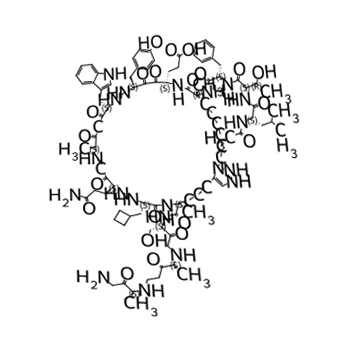 CC(=O)N[C@@H](CC(C)C)C(=O)N[C@H](C(=O)N[C@@H](Cc1ccccc1)C(=O)N[C@]1(C)CCCCCCN2NNC=C2CCC[C@@](C)(C(=O)N[C@@H](CO)C(=O)CN[C@@H](C)C(=O)CCN[C@@H](C)C(=O)CN)NC(=O)[C@H](CC2CCC2)NN[C@@H](CCC(N)=O)C(=O)CN[C@@H](C)C(=O)CC(=O)[C@H](Cc2c[nH]c3ccccc23)NN[C@@H](Cc2ccc(O)cc2)C(=O)C(=O)[C@H](CCC(=O)O)NC1=O)[C@@H](C)O